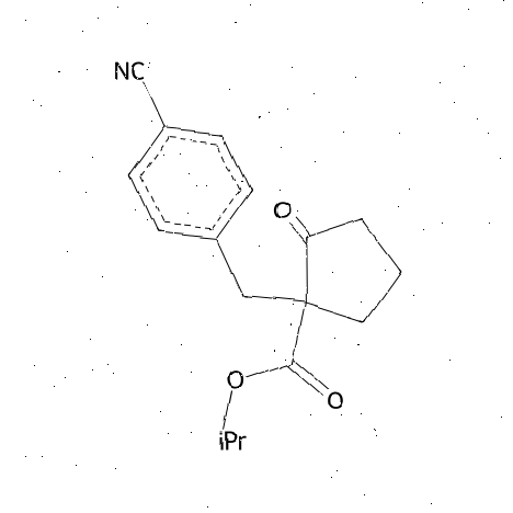 CC(C)OC(=O)C1(Cc2ccc(C#N)cc2)CCCC1=O